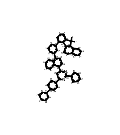 CC1(C)c2cccc(-c3cccc(-c4ccc(-c5cc(-c6ccc(-c7ccccc7)cc6)nc(-c6ccccc6)n5)c5ccccc45)c3)c2-c2ccc3ccccc3c21